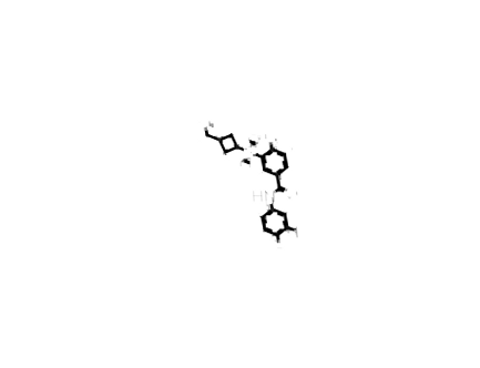 O=C(Nc1ccc(F)c(F)c1)c1ccc(Cl)c(S(=O)(=O)C2CC(CO)C2)c1